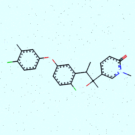 CCOC(=O)c1cc(Oc2ccc(Cl)c(C(C)C(O)(c3ccc(=O)n(C)c3)C(F)(F)F)c2)ccc1Cl